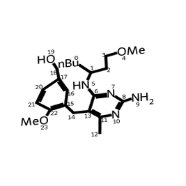 CCCCC(CCOC)Nc1nc(N)nc(C)c1Cc1cc(CO)ccc1OC